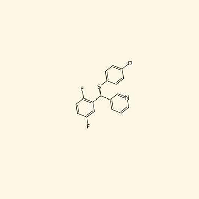 Fc1ccc(F)c(C(Sc2ccc(Cl)cc2)c2cccnc2)c1